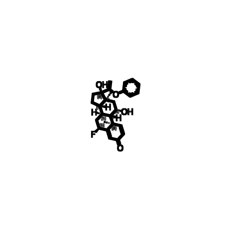 C=C(Oc1ccccc1)[C@@]1(O)CC[C@H]2[C@@H]3C[C@H](F)C4=CC(=O)C=C[C@]4(C)[C@H]3[C@@H](O)C[C@@]21C